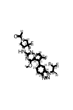 COc1nc(N[C@@H]2CN(C(C)=O)CC2(F)F)nn2cc(F)c(-c3ccc4nnn([C@H](C)C(F)F)c4c3)c12